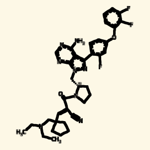 CCN(CC)CC1(C=C(C#N)C(=O)N2CCC[C@H]2Cn2nc(-c3ccc(Oc4cccc(F)c4F)cc3F)c3c(N)ncnc32)CCCC1